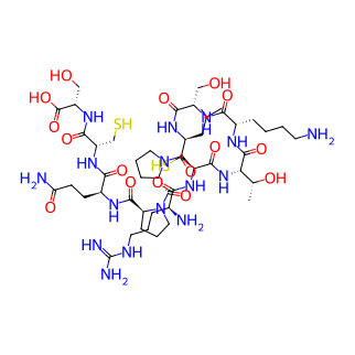 CC(C)C[C@H](NC(=O)[C@H](CO)NC(=O)[C@H](CCCCN)NC(=O)[C@@H](NC(=O)[C@H](CS)NC(=O)[C@@H](N)CCCNC(=N)N)[C@@H](C)O)C(=O)N1CCC[C@H]1C(=O)N1CCC[C@H]1C(=O)N[C@@H](CCC(N)=O)C(=O)N[C@@H](CS)C(=O)N[C@@H](CO)C(=O)O